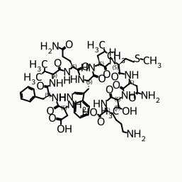 CSCC[C@H](NC(=O)[C@H](CC(C)C)NC(=O)[C@H](Cc1c[nH]c2ccccc12)NC(=O)[C@H](CCC(N)=O)NC(=O)[C@@H](NC(=O)[C@H](Cc1ccccc1)NC(=O)[C@@H](N)CC(=O)O)C(C)C)C(=O)N[C@@H](CC(N)=O)C(=O)N[C@H](C(=O)N[C@@H](CCCCN)C(=O)O)[C@@H](C)O